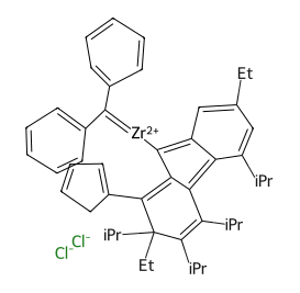 CCc1cc(C(C)C)c2c(c1)=[C]([Zr+2]=[C](c1ccccc1)c1ccccc1)C1=C(C3=CC=CC3)C(CC)(C(C)C)C(C(C)C)=C(C(C)C)C=21.[Cl-].[Cl-]